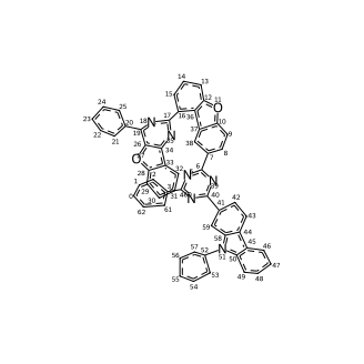 c1ccc(-c2nc(-c3ccc4oc5cccc(-c6nc(-c7ccccc7)c7oc8ccccc8c7n6)c5c4c3)nc(-c3ccc4c5ccccc5n(-c5ccccc5)c4c3)n2)cc1